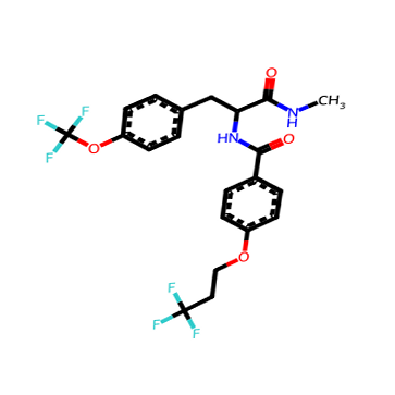 CNC(=O)C(Cc1ccc(OC(F)(F)F)cc1)NC(=O)c1ccc(OCCC(F)(F)F)cc1